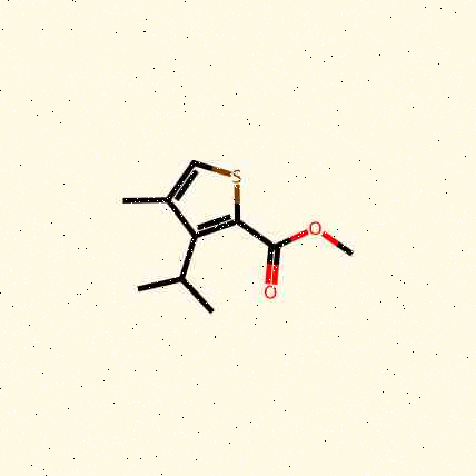 COC(=O)c1scc(C)c1C(C)C